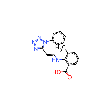 Cc1cccc(C(=O)O)c1NC=Cc1nnnn1-c1ccccc1